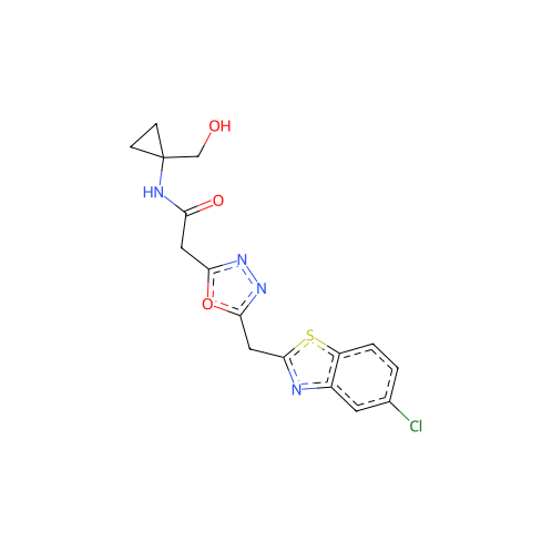 O=C(Cc1nnc(Cc2nc3cc(Cl)ccc3s2)o1)NC1(CO)CC1